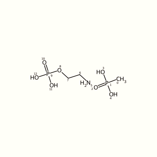 CP(=O)(O)O.NCCOP(=O)(O)O